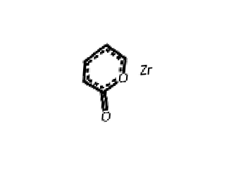 O=c1cccco1.[Zr]